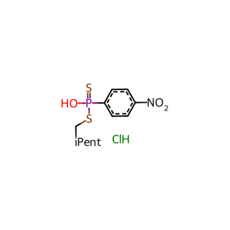 CCCC(C)CSP(O)(=S)c1ccc([N+](=O)[O-])cc1.Cl